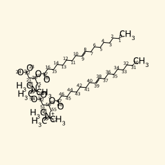 CCCCCCCCC=CCCCCCCCC(=O)OC(CC(=O)[O-])C[N+](C)(C)C.CCCCCCCCC=CCCCCCCCC(=O)OC(CC(=O)[O-])C[N+](C)(C)C